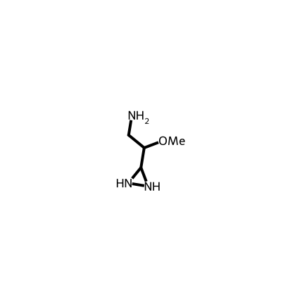 COC(CN)C1NN1